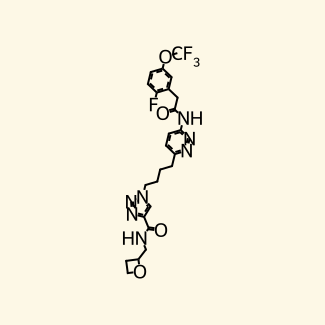 O=C(Cc1cc(OC(F)(F)F)ccc1F)Nc1ccc(CCCCn2cc(C(=O)NCC3CCO3)nn2)nn1